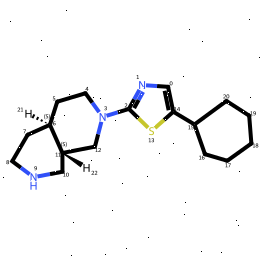 c1nc(N2CC[C@@H]3CCNC[C@H]3C2)sc1C1CCCCC1